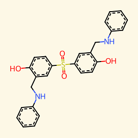 O=S(=O)(c1ccc(O)c(CNc2ccccc2)c1)c1ccc(O)c(CNc2ccccc2)c1